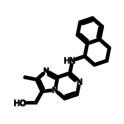 Cc1nc2c(NC3CCCc4ccccc43)nccn2c1CO